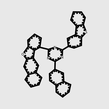 c1ccc2cc(-c3nc(-c4ccc5sc6ccccc6c5c4)nc(-c4cccc5oc6cc7ccccc7cc6c45)n3)ccc2c1